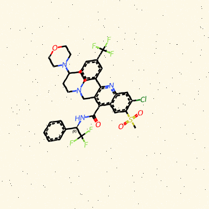 CS(=O)(=O)c1cc2c(C(=O)N[C@H](c3ccccc3)C(F)(F)F)c(CN3CCC(N4CCOCC4)CC3)c(-c3cccc(C(F)(F)F)c3)nc2cc1Cl